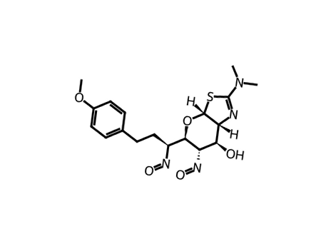 COc1ccc(CC[C@H](N=O)[C@H]2O[C@@H]3SC(N(C)C)=N[C@@H]3[C@@H](O)[C@@H]2N=O)cc1